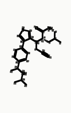 CC(C)C[C@@H](C(N)=O)N(CC#N)c1cscc1-c1ccc(C(C)NC(C)C)cc1